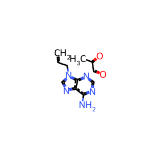 C=CCn1cnc2c(N)ncnc21.CC(=O)C=O